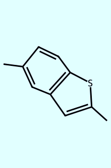 Cc1ccc2sc(C)cc2c1